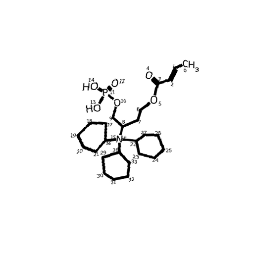 CC=CC(=O)OCCC(COP(=O)(O)O)[N+](C1CCCCC1)(C1CCCCC1)C1CCCCC1